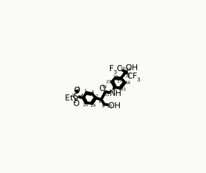 CCS(=O)(=O)c1ccc(C(CO)C(=O)Nc2ccc(C(O)(C(F)(F)F)C(F)(F)F)cc2)cc1